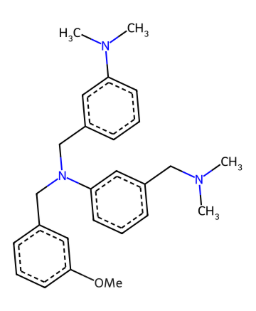 COc1cccc(CN(Cc2cccc(N(C)C)c2)c2cccc(CN(C)C)c2)c1